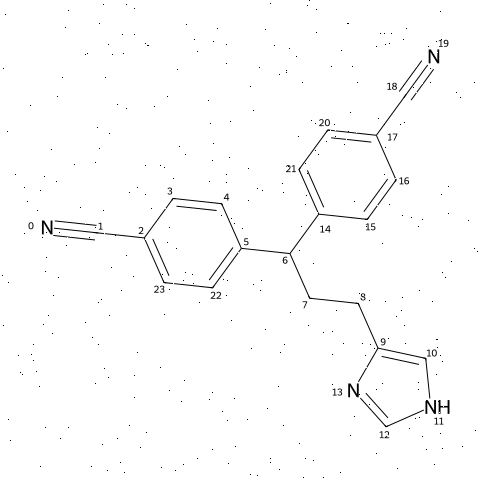 N#Cc1ccc(C(CCc2c[nH]cn2)c2ccc(C#N)cc2)cc1